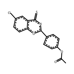 CC(=O)Oc1ccc(-c2nc(=S)c3cc(Cl)ccc3o2)cc1